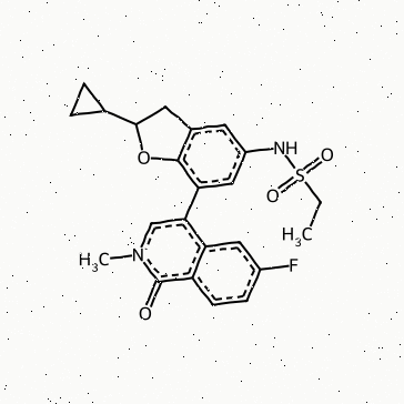 CCS(=O)(=O)Nc1cc2c(c(-c3cn(C)c(=O)c4ccc(F)cc34)c1)OC(C1CC1)C2